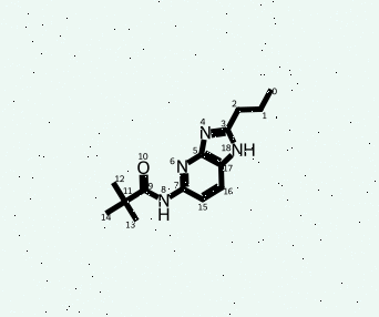 CCCc1nc2nc(NC(=O)C(C)(C)C)ccc2[nH]1